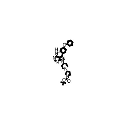 CC(C)(C)OC(=O)N1CCC(N2CCC(n3nc(-c4ccc(Oc5ccccc5)cc4)c4c(N)ncnc43)CC2)C1